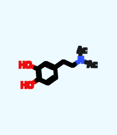 CC(=O)N(CCc1ccc(O)c(O)c1)C(C)=O